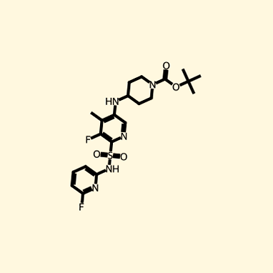 Cc1c(NC2CCN(C(=O)OC(C)(C)C)CC2)cnc(S(=O)(=O)Nc2cccc(F)n2)c1F